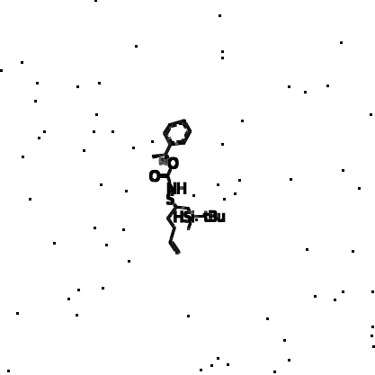 C=CCCC(C[SiH](C)C(C)(C)C)SNC(=O)O[C@@H](C)c1ccccc1